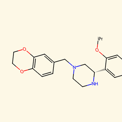 CC(C)Oc1ccccc1[C@H]1CN(Cc2ccc3c(c2)OCCO3)CCN1